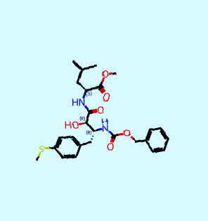 COC(=O)[C@H](CC(C)C)NC(=O)[C@H](O)[C@@H](Cc1ccc(SC)cc1)NC(=O)OCc1ccccc1